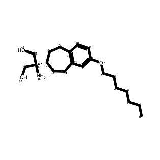 CCCCCCCOc1ccc2c(c1)CC[C@H](C(N)(CO)CO)CC2